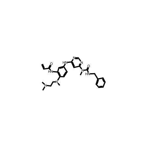 C=CC(=O)Nc1cc(Nc2cc(N(C)C(=O)NCc3ccccc3)ncn2)ccc1N(C)CCN(C)C